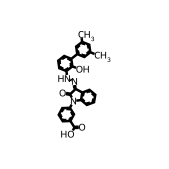 Cc1cc(C)cc(-c2cccc(NN=C3C(=O)N(c4cccc(C(=O)O)c4)c4ccccc43)c2O)c1